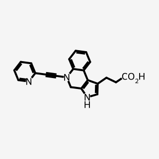 O=C(O)CCc1c[nH]c2c1-c1ccccc1N(C#Cc1ccccn1)C2